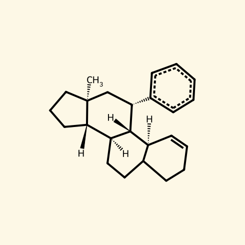 C[C@@]12CCC[C@H]1[C@@H]1CCC3CCC=C[C@@H]3[C@H]1[C@@H](c1ccccc1)C2